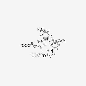 O=C([O-])COC1CCN(c2cccc(C(F)(F)F)c2)C1.O=C([O-])COC1CCN(c2cccc(C(F)(F)F)c2)C1.[Ca+2]